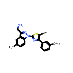 COc1cccc(-c2nc(-n3nc(CN)c4cc(C(F)(F)F)ccc43)sc2C(C)C)c1